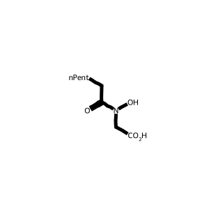 CCCCCCC(=O)N(O)CC(=O)O